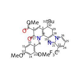 COC(=O)c1cc2c(n(Cc3ccc(OC)cc3OC)c1=O)-c1nc3c(C(F)(F)F)cccn3c1CC2C(C)(C)C